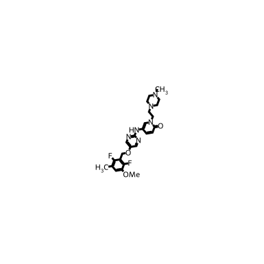 COc1cc(C)c(F)c(COc2cnc(Nc3ccc(=O)n(CCN4CCN(C)CC4)c3)nc2)c1F